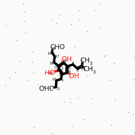 CC(C)=CCc1c(O)c(CCCC=O)c(O)c(CCCC=O)c1O